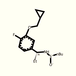 CCCC[S+]([O-])N[C@H](CC)c1ccc(F)c(OCC2CC2)c1